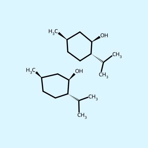 CC(C)[C@@H]1CC[C@@H](C)C[C@H]1O.CC(C)[C@@H]1CC[C@@H](C)C[C@H]1O